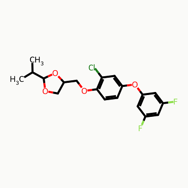 CC(C)C1OCC(COc2ccc(Oc3cc(F)cc(F)c3)cc2Cl)O1